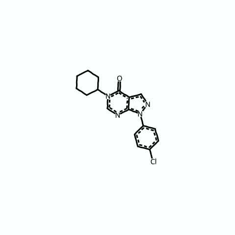 O=c1c2cnn(-c3ccc(Cl)cc3)c2ncn1C1CCCCC1